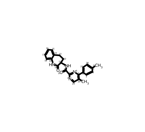 Cc1ccc(-c2nc(C(=O)NC3CCc4ccccc4NC3=O)ncc2C)cc1